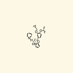 CC(Oc1ccc[nH]1)c1ccc(OC(F)F)c(OCC2CC2)c1.c1ccncc1